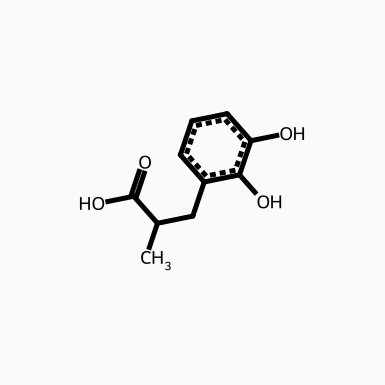 CC(Cc1cccc(O)c1O)C(=O)O